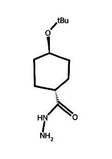 CC(C)(C)O[C@H]1CC[C@H](C(=O)NN)CC1